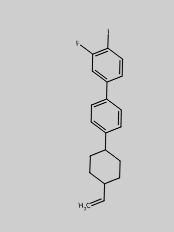 C=CC1CCC(c2ccc(-c3ccc(I)c(F)c3)cc2)CC1